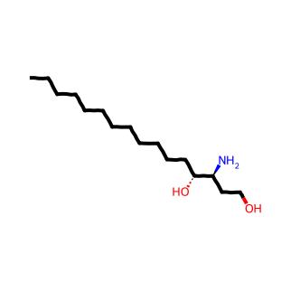 CCCCCCCCCCCC[C@@H](O)[C@@H](N)CCO